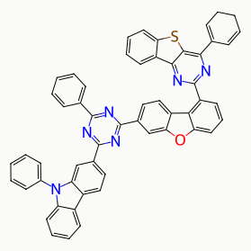 C1=CC(c2nc(-c3cccc4oc5cc(-c6nc(-c7ccccc7)nc(-c7ccc8c9ccccc9n(-c9ccccc9)c8c7)n6)ccc5c34)nc3c2sc2ccccc23)=CCC1